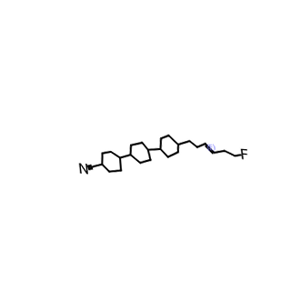 N#CC1CCC(C2CCC(C3CCC(CC/C=C/CCF)CC3)CC2)CC1